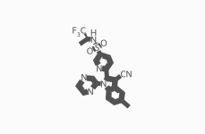 Cc1ccc2c(c1)c(C#N)c(-c1ccc(S(=O)(=O)N[C@@H](C)C(F)(F)F)cn1)n2-c1cnccn1